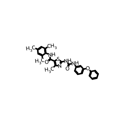 Cc1cc(C)c(NC(=O)c2sc(NC(=O)Nc3cccc(Oc4ccccc4)c3)nc2C)c(C)c1